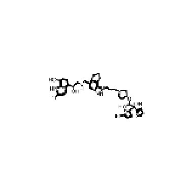 O=c1ccc2c([C@@H](O)CNCc3cc4nnn(CCCN5CCC(OC(O)[C@@](O)(c6cccs6)c6ccc(Br)s6)CC5)c4c4c3CCC4)ccc(O)c2[nH]1